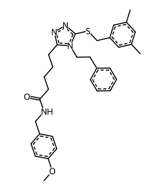 COc1ccc(CNC(=O)CCCCc2nnc(SCc3cc(C)cc(C)c3)n2CCc2ccccc2)cc1